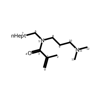 C=C(C)C(=O)N(CCCCCCCC)CCCN(C)C